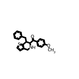 COc1ccc(C(=O)C2NCc3ccsc3C2Cc2ccccc2)cc1